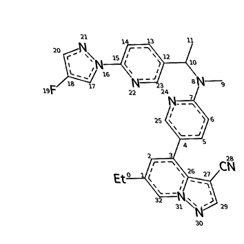 CCc1cc(-c2ccc(N(C)C(C)c3ccc(-n4cc(F)cn4)nc3)nc2)c2c(C#N)cnn2c1